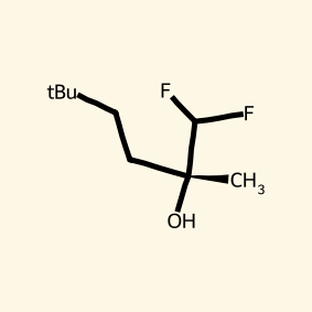 CC(C)(C)CC[C@@](C)(O)C(F)F